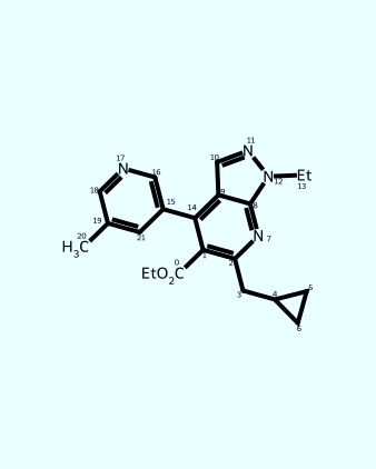 CCOC(=O)c1c(CC2CC2)nc2c(cnn2CC)c1-c1cncc(C)c1